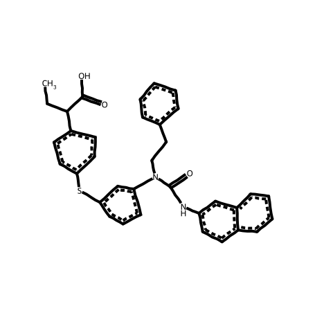 CCC(C(=O)O)c1ccc(Sc2cccc(N(CCc3ccccc3)C(=O)Nc3ccc4ccccc4c3)c2)cc1